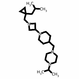 CC(C)CC1(CN2CC(N3CCC(CN4CCN(C(C)C)CC4)CC3)C2)CC1